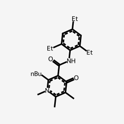 CCCCc1c(C(=O)Nc2c(CC)cc(CC)cc2CC)c(=O)c(C)c(C)n1C